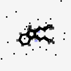 C=C/C=c1/c2c([nH]/c1=C/C=C)CCCC2